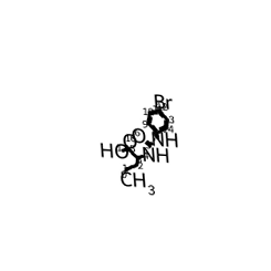 CCCC(NC(=O)Nc1ccc(Br)cc1)C(=O)O